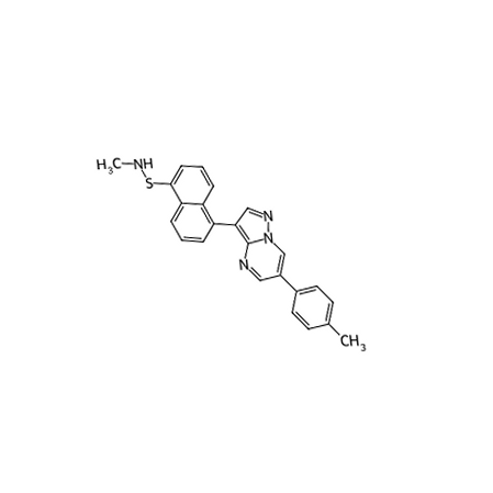 CNSc1cccc2c(-c3cnn4cc(-c5ccc(C)cc5)cnc34)cccc12